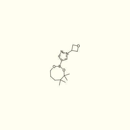 CC1(C)CCCOB(c2cnn(C3COC3)c2)OC1(C)C